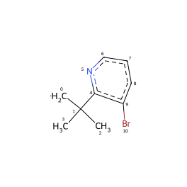 [CH2]C(C)(C)c1ncccc1Br